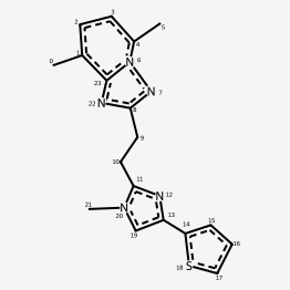 Cc1ccc(C)n2nc(CCc3nc(-c4cccs4)cn3C)nc12